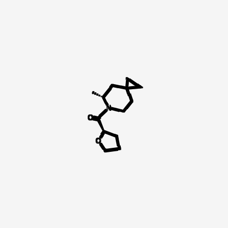 C[C@@H]1CC2(CCN1C(=O)[C@H]1CCCO1)CC2